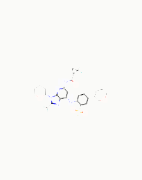 CS(=O)(=O)c1cc([C@@H]2CCCOC2)ccc1Nc1cc(NC(=O)C2CC2(F)F)nc2c1nc(C(F)F)n2C1CCCCO1